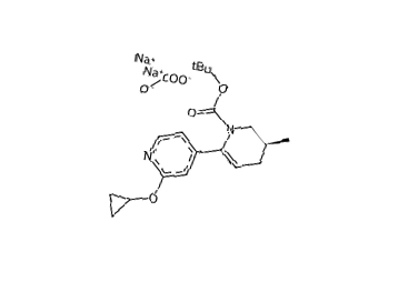 C[C@H]1CC=C(c2ccnc(OC3CC3)c2)N(C(=O)OC(C)(C)C)C1.O=C([O-])[O-].[Na+].[Na+]